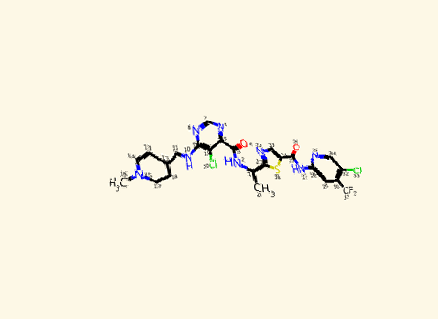 CC(NC(=O)c1ncnc(NCC2CCN(C)CC2)c1Cl)c1ncc(C(=O)Nc2cc(C(F)(F)F)c(Cl)cn2)s1